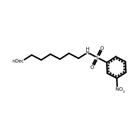 CCCCCCCCCCCCCCCCNS(=O)(=O)c1[c]ccc([N+](=O)[O-])c1